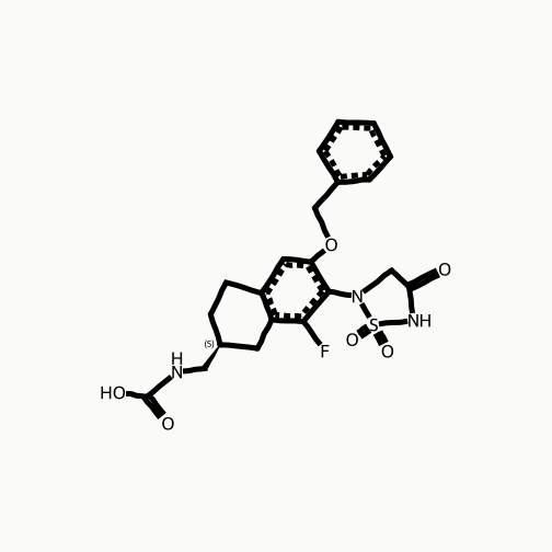 O=C(O)NC[C@H]1CCc2cc(OCc3ccccc3)c(N3CC(=O)NS3(=O)=O)c(F)c2C1